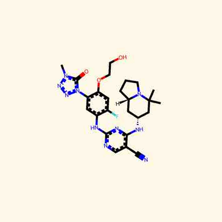 Cn1nnn(-c2cc(Nc3ncc(C#N)c(N[C@@H]4C[C@@H]5CCCN5C(C)(C)C4)n3)c(F)cc2OCCO)c1=O